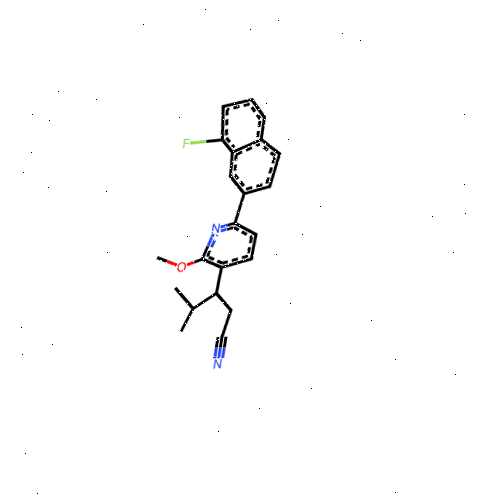 COc1nc(-c2ccc3cccc(F)c3c2)ccc1C(CC#N)C(C)C